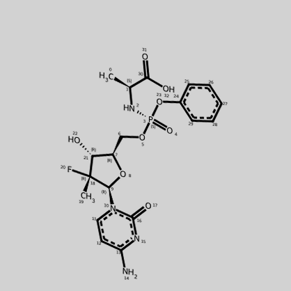 C[C@H](N[P@](=O)(OC[C@H]1O[C@@H](n2ccc(N)nc2=O)[C@](C)(F)[C@@H]1O)Oc1ccccc1)C(=O)O